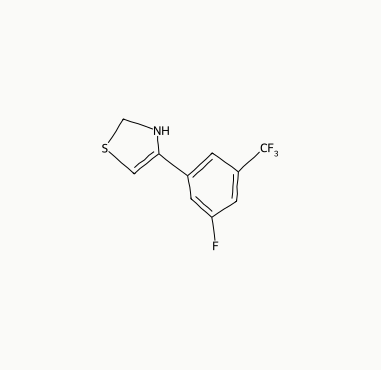 Fc1cc(C2=CSCN2)cc(C(F)(F)F)c1